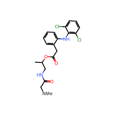 CNCC(=O)NCC(C)OC(=O)Cc1ccccc1Nc1c(Cl)cccc1Cl